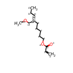 C=CC(=O)OCCCCC[SiH](CCC)COC